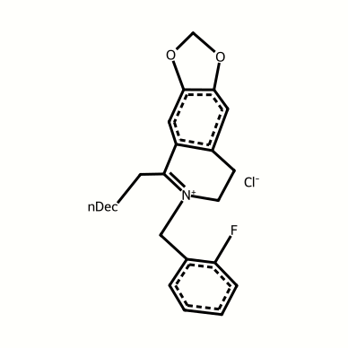 CCCCCCCCCCCC1=[N+](Cc2ccccc2F)CCc2cc3c(cc21)OCO3.[Cl-]